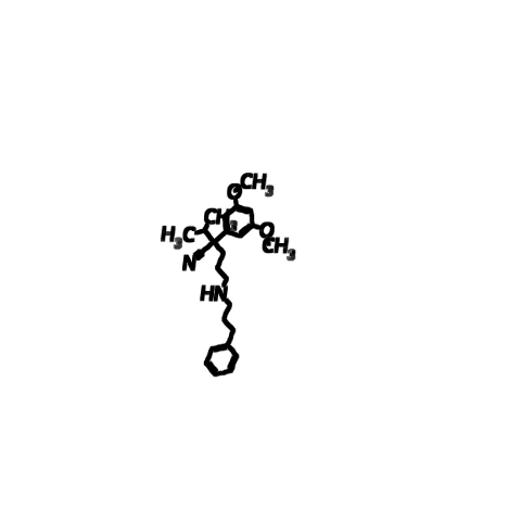 COc1cc(OC)cc(C(C#N)(CCCNCCCc2ccccc2)C(C)C)c1